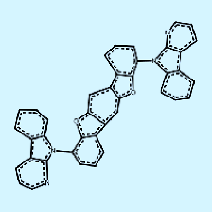 c1cc(-n2c3ccccc3c3cccnc32)c2oc3cc4c(cc3c2c1)oc1c(-n2c3ccccc3c3cccnc32)cccc14